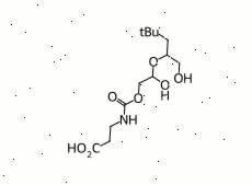 CC(C)(C)CC(CO)OC(O)COC(=O)NCCC(=O)O